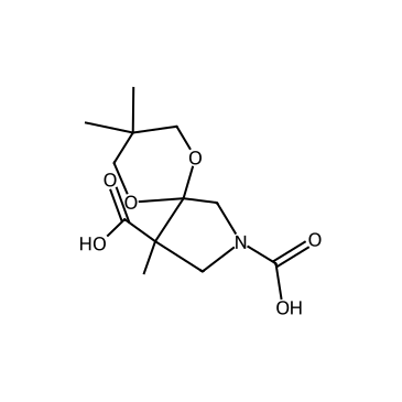 CC1(C)COC2(CN(C(=O)O)CC2(C)C(=O)O)OC1